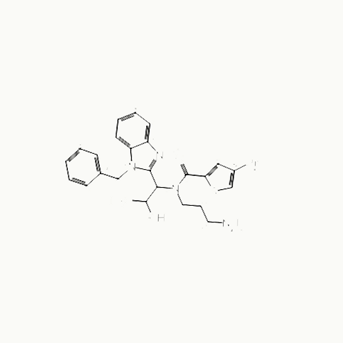 CC(C)C(c1nc2ccccc2n1Cc1ccccc1)N(CCCN)C(=O)c1cc(Br)cs1